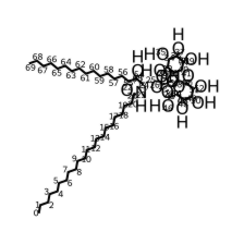 CCCCCCCCCCCCCCCCCCCCCC(=O)N[C@@H](COP(=O)(O)O[C@H]1C(O)C(O)C(O)[C@@H](O)C1O[C@H]1O[C@H](CO)[C@@H](O)C(O)C1O)[C@H](O)CCCCCCCCCCCCCCC